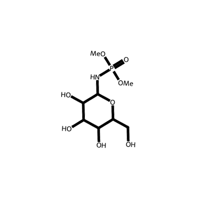 COP(=O)(NC1OC(CO)C(O)C(O)C1O)OC